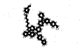 C=Cc1ccc(OCCCCCCCCC2(C3=CC=CCC3)c3ccccc3-c3ccc(N(c4ccc(-c5ccccc5)cc4)c4ccc(-c5ccc6c(c5)c5cc(-c7ccc(C=C)cc7)ccc5n6C5C=CC=CC5)cc4)cc32)cc1